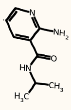 CC(C)NC(=O)c1c[c]cnc1N